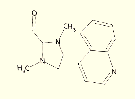 CN1CCN(C)C1C=O.c1ccc2ncccc2c1